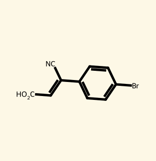 N#C/C(=C\C(=O)O)c1ccc(Br)cc1